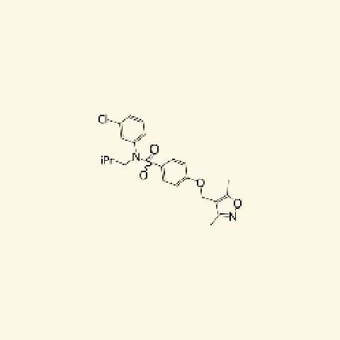 Cc1noc(C)c1COc1ccc(S(=O)(=O)N(CC(C)C)c2cccc(Cl)c2)cc1